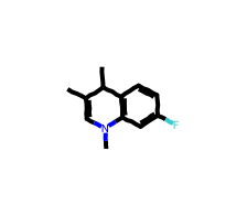 CC1=CN(C)c2cc(F)ccc2C1C